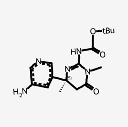 CN1C(=O)C[C@@](C)(c2cncc(N)c2)N=C1NC(=O)OC(C)(C)C